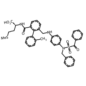 CSCC[C@H](NC(=O)c1cccc(CNc2ccc(N(Cc3ccccc3)S(=O)(=O)C(=O)c3ccccc3)cc2)c1-c1ccccc1C)C(=O)O